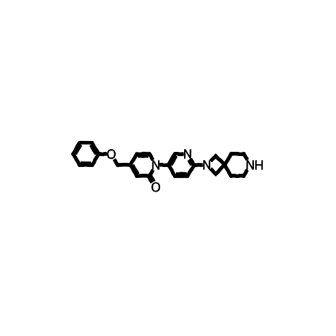 O=c1cc(COc2ccccc2)ccn1-c1ccc(N2CC3(CCNCC3)C2)nc1